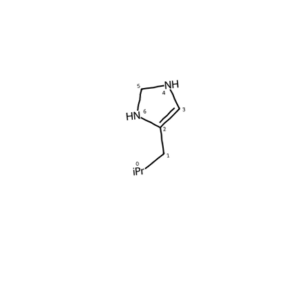 CC(C)CC1=CNCN1